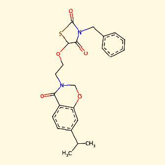 CC(C)c1ccc2c(c1)OCN(CCOC1SC(=O)N(Cc3ccccc3)C1=O)C2=O